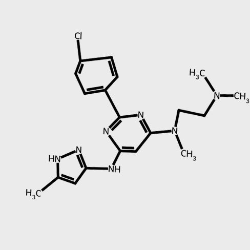 Cc1cc(Nc2cc(N(C)CCN(C)C)nc(-c3ccc(Cl)cc3)n2)n[nH]1